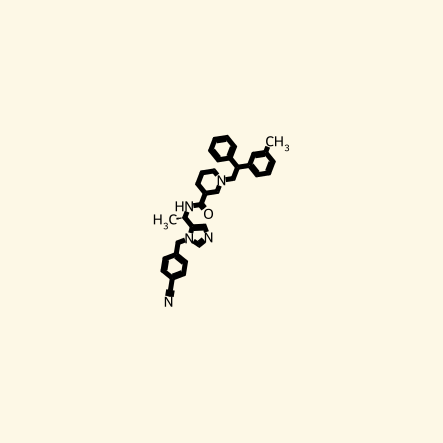 Cc1cccc(C(CN2CCCC(C(=O)N[C@@H](C)c3cncn3Cc3ccc(C#N)cc3)C2)c2ccccc2)c1